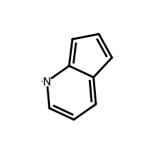 C1=C[N]C2=CC=CC2=C1